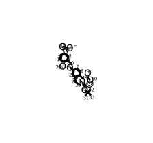 COC(=O)[C@H]1c2ccc(OCc3cc([N+](=O)[O-])ccc3OC)cc2CCN1C(=O)OC(C)(C)C